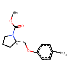 CC(C)(C)OC(=O)N1CCC[C@H]1COc1ccc([N+](=O)[O-])cc1